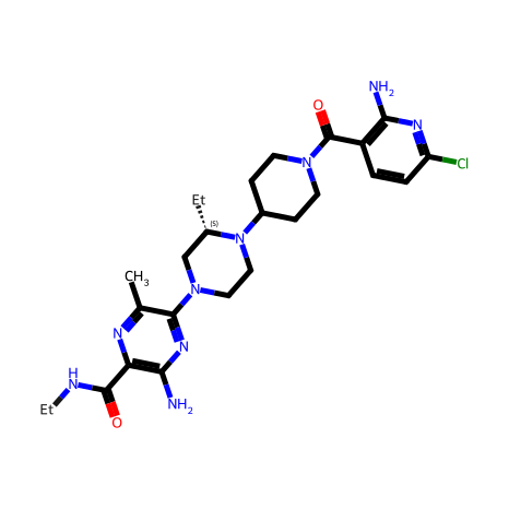 CCNC(=O)c1nc(C)c(N2CCN(C3CCN(C(=O)c4ccc(Cl)nc4N)CC3)[C@@H](CC)C2)nc1N